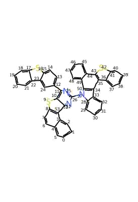 c1ccc2c(c1)ccc1sc3c(-c4ccc5sc6ccccc6c5c4)nc(-n4c5ccccc5c5c6c7ccccc7sc6c6ccccc6c54)nc3c12